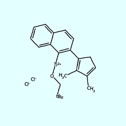 CC1=CCC(c2ccc3ccccc3[c]2[Ti+2][O]CC(C)(C)C)=C1C.[Cl-].[Cl-]